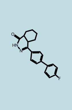 O=C1NN=C(c2ccc(-c3ccc(F)cc3)cc2)C2CCCCC12